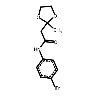 CC(C)c1ccc(NC(=O)CC2(C)OCCO2)cc1